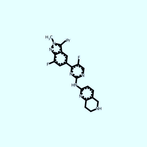 CC(C)c1c2cc(-c3nc(Nc4ccc5c(n4)CCNC5)ncc3F)cc(F)c2nn1C